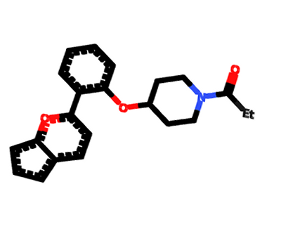 CCC(=O)N1CCC(Oc2ccccc2-c2ccc3cccc-3o2)CC1